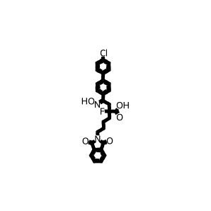 O=C1c2ccccc2C(=O)N1CCCCC(F)(CC(=NO)c1ccc(-c2ccc(Cl)cc2)cc1)C(=O)O